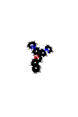 C1=CC(c2ccc(N3CCCCC3)cc2)(c2ccc(N3CCCCC3)cc2)Oc2ccc3ccccc3c21